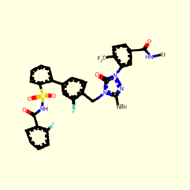 CCCCc1nn(-c2cc(C(=O)NCC)ccc2C(F)(F)F)c(=O)n1Cc1ccc(-c2ccccc2S(=O)(=O)NC(=O)c2ccccc2F)cc1F